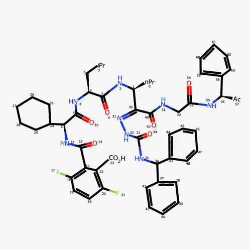 CCC[C@H](NC(=O)[C@H](CC(C)C)NC(=O)[C@@H](NC(=O)c1c(F)ccc(F)c1C(=O)O)C1CCCCC1)C(=NNC(=O)NC(c1ccccc1)c1ccccc1)C(=O)NCC(=O)N[C@H](C(C)=O)c1ccccc1